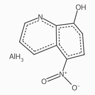 O=[N+]([O-])c1ccc(O)c2ncccc12.[AlH3]